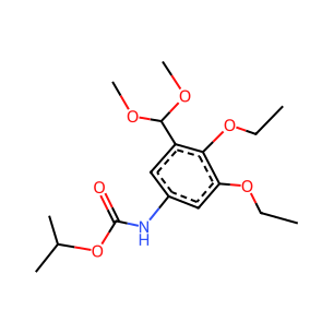 CCOc1cc(NC(=O)OC(C)C)cc(C(OC)OC)c1OCC